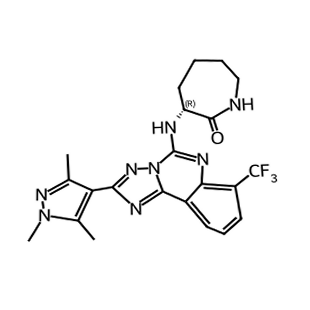 Cc1nn(C)c(C)c1-c1nc2c3cccc(C(F)(F)F)c3nc(N[C@@H]3CCCCNC3=O)n2n1